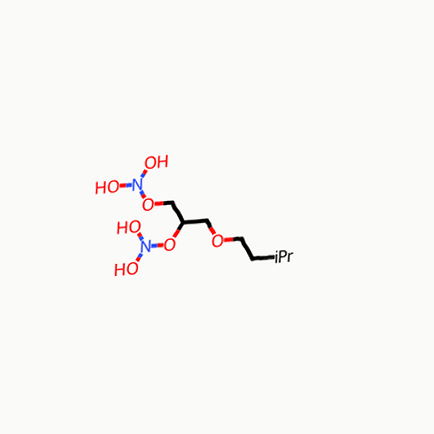 CC(C)CCOCC(CON(O)O)ON(O)O